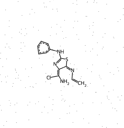 C=C/N=C1/SC(Nc2ccccc2)=N/C1=C(/N)Cl